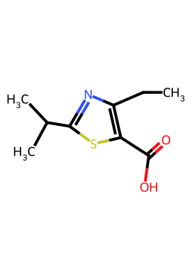 CCc1nc(C(C)C)sc1C(=O)O